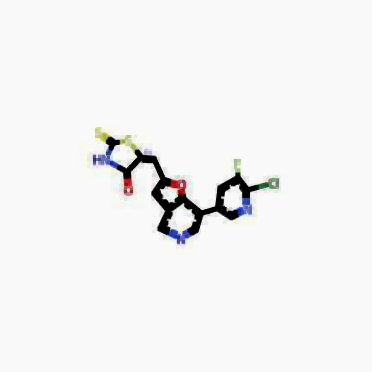 O=C1NC(=S)S/C1=C/c1cc2cncc(-c3cnc(Cl)c(F)c3)c2o1